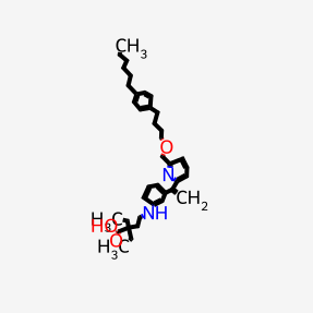 C=C(c1cccc(NCCC(CC)(CC)C(=O)O)c1)c1cccc(COCCCCc2ccc(CCCCCC)cc2)n1